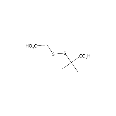 CC(C)(SSCC(=O)O)C(=O)O